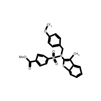 COC(=O)c1ccc(S(=O)(=O)N(Cc2ccc(OC(F)(F)F)cc2)c2sc3ccccc3c2C)cc1